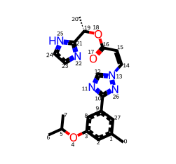 Cc1cc(OC(C)C)cc(-c2ncn(/C=C\C(=O)O[C@@H](C)c3ncc[nH]3)n2)c1